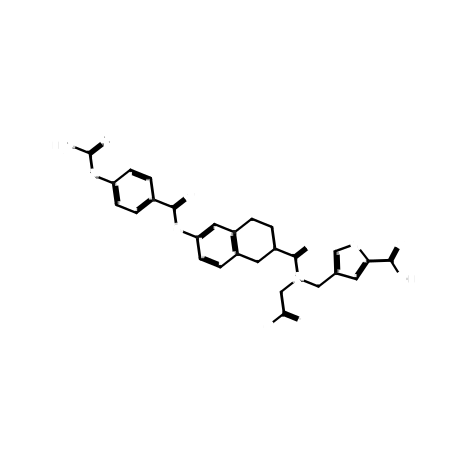 N=C(N)Nc1ccc(C(=O)Oc2ccc3c(c2)CCC(C(=O)N(CC(=O)O)Cc2csc(C(=O)O)c2)C3)cc1